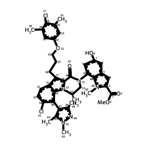 COC(=O)c1cc2cc(O)cc(N3C[C@@H](C)n4c(c(CCCOc5cc(C)c(Cl)c(C)c5)c5ccc(Cl)c(-c6c(C)nn(C)c6C)c54)C3=O)c2n1C